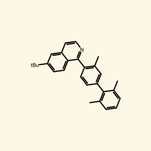 Cc1cc(-c2c(C)cccc2C)ccc1-c1nccc2cc(C(C)(C)C)ccc12